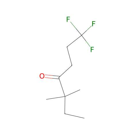 CCC(C)(C)C(=O)CCC(F)(F)F